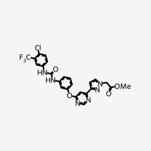 COC(=O)Cn1ccc(-c2cc(Oc3cccc(NC(=O)Nc4ccc(Cl)c(C(F)(F)F)c4)c3)ncn2)n1